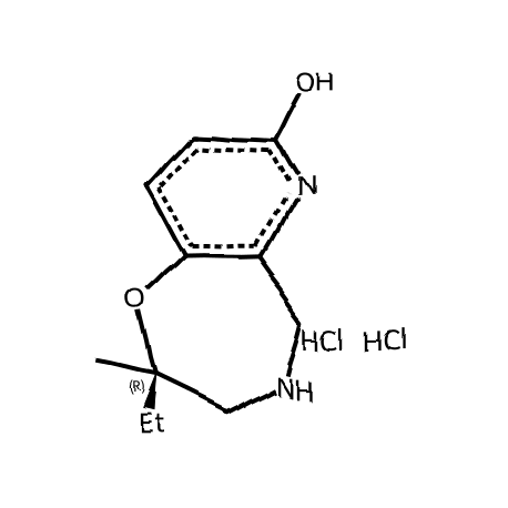 CC[C@]1(C)CNCc2nc(O)ccc2O1.Cl.Cl